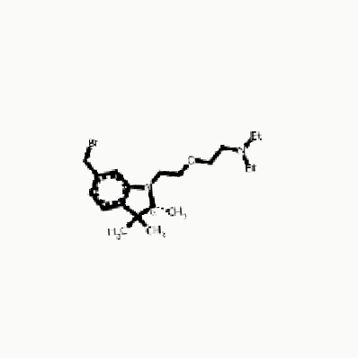 CCN(CC)CCOCCN1c2cc(CBr)ccc2C(C)(C)[C@H]1C